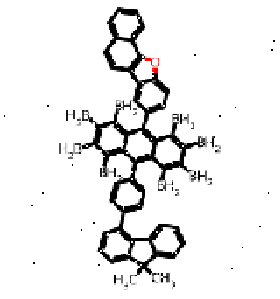 Bc1c(B)c(B)c2c(-c3ccc4oc5c6ccccc6ccc5c4c3)c3c(B)c(B)c(B)c(B)c3c(-c3ccc(-c4cccc5c4-c4ccccc4C5(C)C)cc3)c2c1B